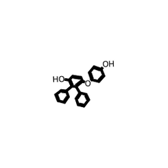 Oc1ccc(Oc2ccc(O)c(-c3ccccc3)c2-c2ccccc2)cc1